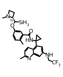 Cc1ccc2c(C3(NC(=O)c4cc(OC([SiH3])[C@@H]5CCN5C)ccc4C)CC3)cc(NCC(F)(F)F)cc2n1